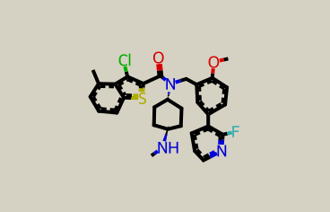 CN[C@H]1CC[C@H](N(Cc2cc(-c3cccnc3F)ccc2OC)C(=O)c2sc3cccc(C)c3c2Cl)CC1